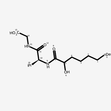 CCCCCCCCCCCCCCC(O)C(=O)N[C@H](C(=O)NCC(=O)O)C(C)C